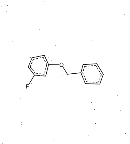 Fc1c[c]cc(OCc2ccccc2)c1